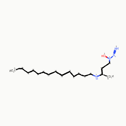 N=NN(O)CC[C@H](NCCCCCCCCCCCCCC(=O)O)C(=O)O